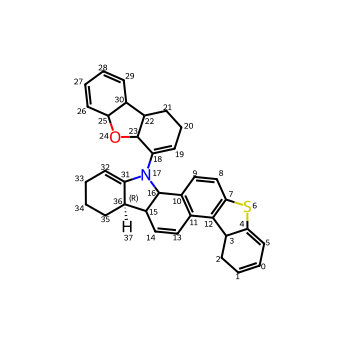 C1=CCC2C(=C1)Sc1ccc3c(c12)C=CC1C3N(C2=CCCC3C2OC2C=CC=CC23)C2=CCCC[C@@H]21